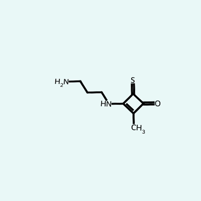 Cc1c(NCCCN)c(=S)c1=O